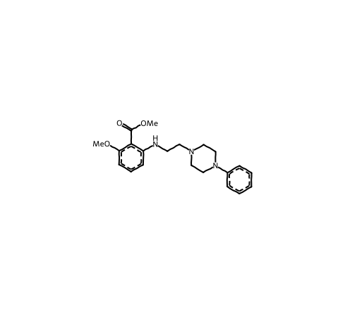 COC(=O)c1c(NCCN2CCN(c3ccccc3)CC2)cccc1OC